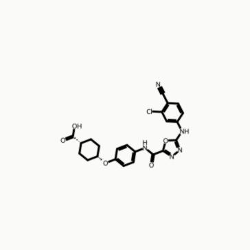 N#Cc1ccc(Nc2nnc(C(=O)Nc3ccc(O[C@H]4CC[C@@H](C(=O)O)CC4)cc3)o2)cc1Cl